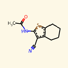 CC(=O)Nc1sc2c(c1C#N)CCCC2